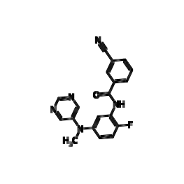 CN(c1cncnc1)c1ccc(F)c(NC(=O)c2cccc(C#N)c2)c1